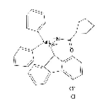 O=C([NH][Zr+2]([CH]1c2ccccc2-c2ccccc21)[SiH](c1ccccc1)c1ccccc1)C1CCCC1.[Cl-].[Cl-]